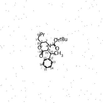 CC(C)C[C@H]1CN(C(=O)OC(C)(C)C)[C@@H](C(C)c2ccccc2)C(=O)O1